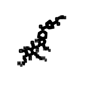 CC(C)(C)OC(=O)c1ccc(C(=O)N2CCC3(CC2)CN(N)C(NC(=O)C2NC(Cl)=C(N=NN)NC2N=NN)N3)cc1